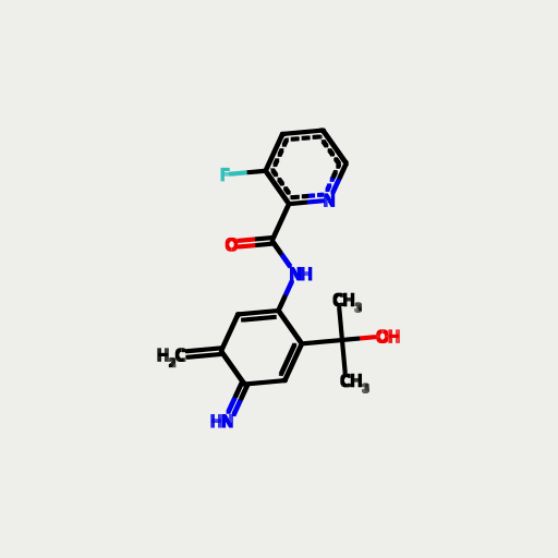 C=C1C=C(NC(=O)c2ncccc2F)C(C(C)(C)O)=CC1=N